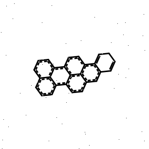 C1=Cc2cc3ccc4c5cccc6cccc(c7ccc(c2=CC1)c3c47)c65